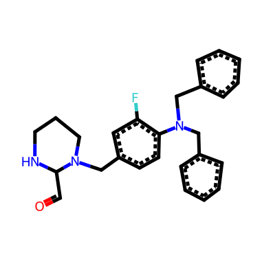 O=CC1NCCCN1Cc1ccc(N(Cc2ccccc2)Cc2ccccc2)c(F)c1